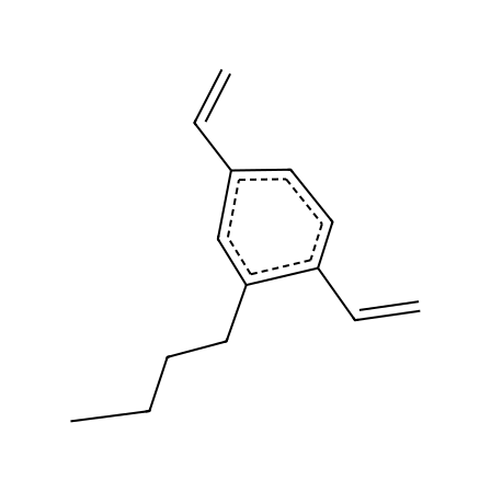 C=Cc1ccc(C=C)c(CCCC)c1